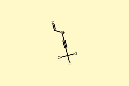 O=CNC#CC(Cl)(Cl)Cl